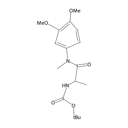 COc1ccc(N(C)C(=O)C(C)NC(=O)OC(C)(C)C)cc1OC